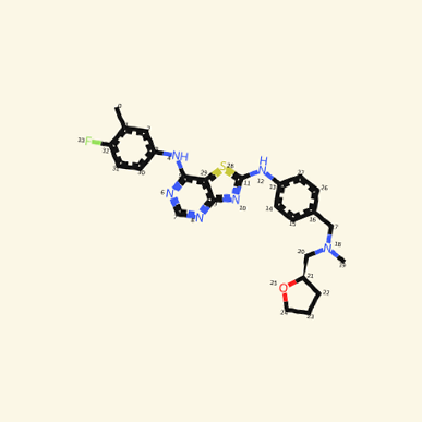 Cc1cc(Nc2ncnc3nc(Nc4ccc(CN(C)C[C@H]5CCCO5)cc4)sc23)ccc1F